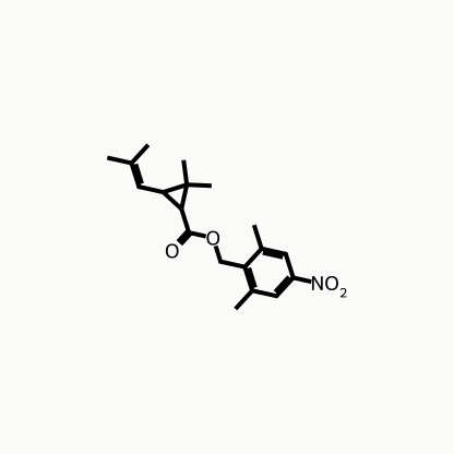 CC(C)=CC1C(C(=O)OCc2c(C)cc([N+](=O)[O-])cc2C)C1(C)C